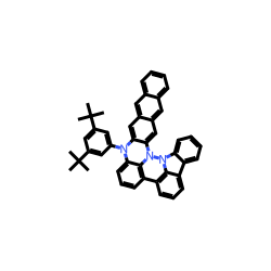 CC(C)(C)c1cc(-n2c3cccc4c3-n(c3cc5cc6ccccc6cc5cc32)n2c3ccccc3c3cccc4c32)cc(C(C)(C)C)c1